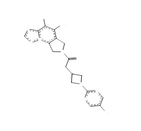 Cc1c2c(n3ncnc3c1Cl)CN(C(=O)CC1CN(c3ncc(C(F)(F)F)cn3)C1)C2